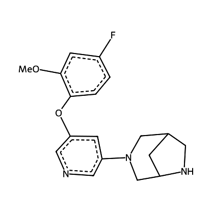 COc1cc(F)ccc1Oc1cncc(N2CC3CNC(C3)C2)c1